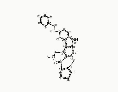 COCc1c(C(=O)c2ccccc2C)ncc2[nH]c3ccc(OCc4ccccc4)cc3c12